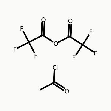 CC(=O)Cl.O=C(OC(=O)C(F)(F)F)C(F)(F)F